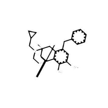 COc1cc(Cc2ccccc2)c2c(c1O)[C@]13CCN(CC4CC4)[C@H](C2)[C@@H]1CCC(=O)C3